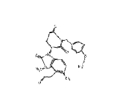 COc1ccc(CN2C(=O)CCC(n3c(=O)n(C)c4c(CC=O)c(C)ccc43)C2=O)cc1